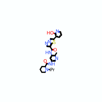 Cc1ncc(NC(=O)C2CCCCN2C(C)C)cc1NC(=O)c1cnn2cc(-c3cccnc3O)sc12